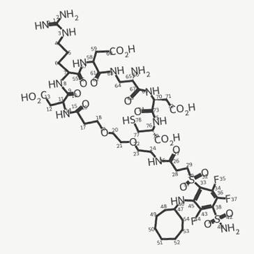 N=C(N)NCCCC(NC(=O)C(CC(=O)O)NC(=O)CCOCCOCCNC(=O)CCS(=O)(=O)c1c(F)c(F)c(S(N)(=O)=O)c(F)c1NC1CCCCCCC1)C(=O)NC(CC(=O)O)C(=O)NC[C@H](N)C(=O)N[C@@H](CC(=O)O)C(=O)N[C@@H](CS)C(=O)O